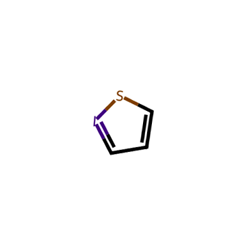 C1=CSI=C1